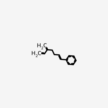 C=CC(=C)CC/C=C/c1ccccc1